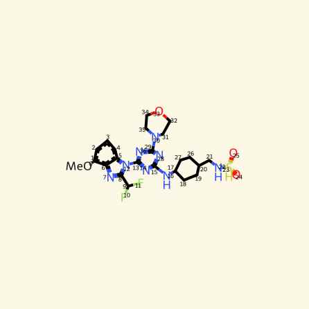 COc1cccc2c1nc(C(F)F)n2-c1nc(NC2CCC(CN[SH](=O)=O)CC2)nc(N2CCOCC2)n1